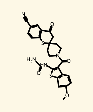 COc1ccc2c(C(=O)N3CCC4(CC3)CC(=O)c3cc(C#N)ccc3S4)c(NC(N)=O)sc2c1